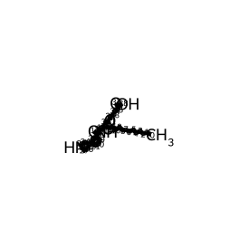 CCCCCCCCCCCCOC(CNC(=O)c1cccc(C2CCNCC2)c1)COCCCCC(=O)O